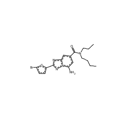 CCCCN(CCC)C(=O)c1cc(N)n2nc(-c3ccc(Br)o3)nc2c1